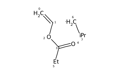 C=COC(=O)CC.[CH2]C(C)C